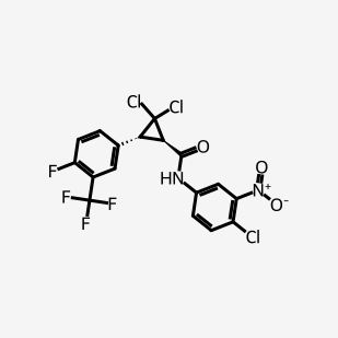 O=C(Nc1ccc(Cl)c([N+](=O)[O-])c1)[C@H]1[C@H](c2ccc(F)c(C(F)(F)F)c2)C1(Cl)Cl